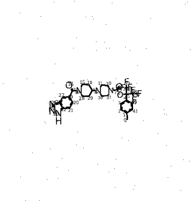 Cc1ccc(C(OC(=O)N2CCN(C3CCN(C(=O)c4ccc5[nH]nnc5c4)CC3)CC2)(C(F)(F)F)C(F)(F)F)cc1